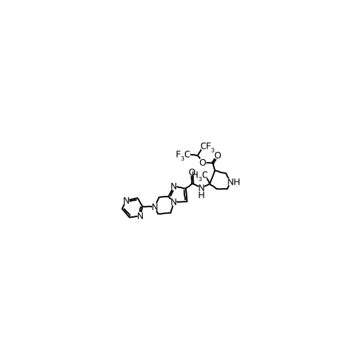 CC1(NC(=O)c2cn3c(n2)CN(c2cnccn2)CC3)CCNCC1C(=O)OC(C(F)(F)F)C(F)(F)F